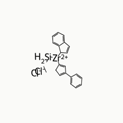 CC.C[SiH2][Zr+2]([C]1=CC(c2ccccc2)=CC1)[CH]1C=Cc2ccccc21.[Cl-].[Cl-]